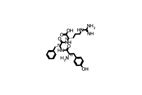 N=C(N)NCCC[C@H](NC(=O)[C@@H](Cc1ccccc1)NC(=O)[C@@H](N)Cc1ccc(O)cc1)C(=O)O